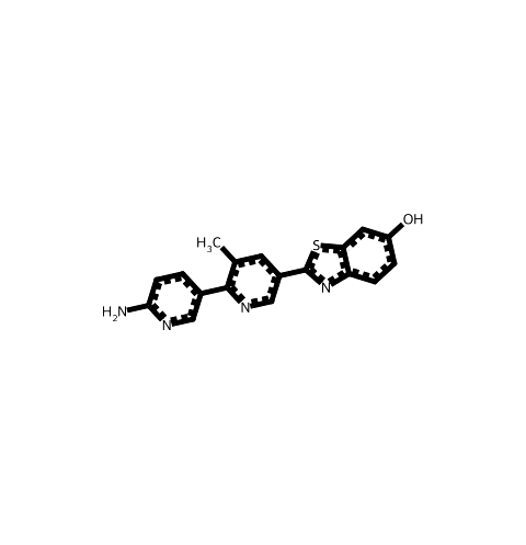 Cc1cc(-c2nc3ccc(O)cc3s2)cnc1-c1ccc(N)nc1